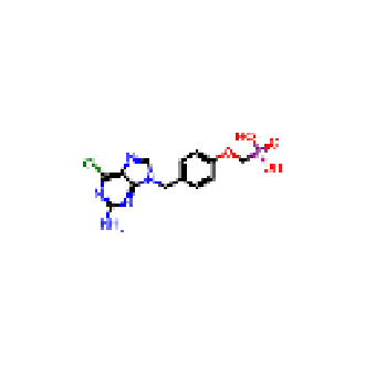 Nc1nc(Cl)c2ncn(Cc3ccc(OCP(=O)(O)O)cc3)c2n1